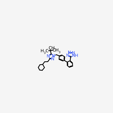 CC(C)(C)c1nc(CCC2CCCCC2)nn1Cc1ccc(-c2ccccc2-c2nnn[nH]2)cc1